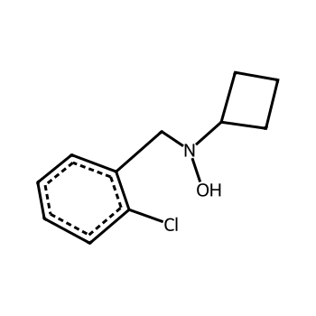 ON(Cc1ccccc1Cl)C1CCC1